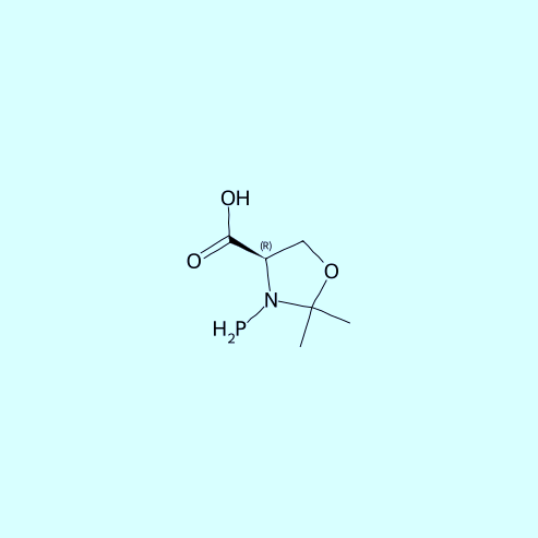 CC1(C)OC[C@H](C(=O)O)N1P